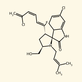 C=C(Cl)/C=C\C=C(/F)[C@H]1C[C@H](CO)N(CC=C(C)C)[C@@]12C(=O)NC1=CC(Cl)=CCC12